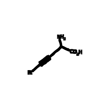 CCC#CC(N)C(=O)O